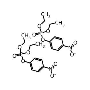 CCOP(=O)(OCC)Oc1ccc([N+](=O)[O-])cc1.CCOP(=O)(OCC)Oc1ccc([N+](=O)[O-])cc1